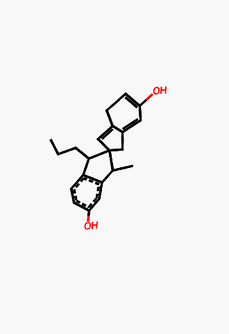 CCCC1c2ccc(O)cc2C(C)C12C=C1CC=C(O)C=C1C2